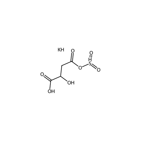 O=C(CC(O)C(=O)O)O[SH](=O)=O.[KH]